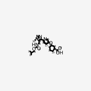 CC(C)COC(=O)NCc1c(-c2ccc(O[C@H]3CCC[C@H](C(=O)O)C3)cn2)nnn1C